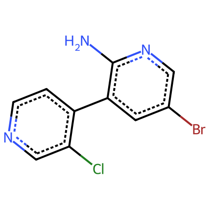 Nc1ncc(Br)cc1-c1ccncc1Cl